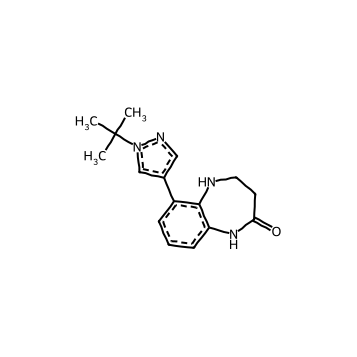 CC(C)(C)n1cc(-c2cccc3c2NCCC(=O)N3)cn1